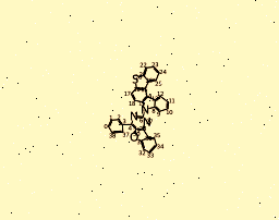 c1ccc(-c2nc(-n3c4ccccc4c4c5c(ccc43)sc3ccccc35)nc3c2oc2ccccc23)cc1